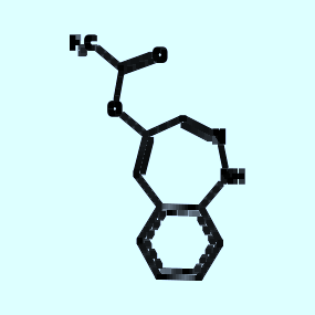 O=C(OC1=Cc2ccccc2NN=C1)C(F)(F)F